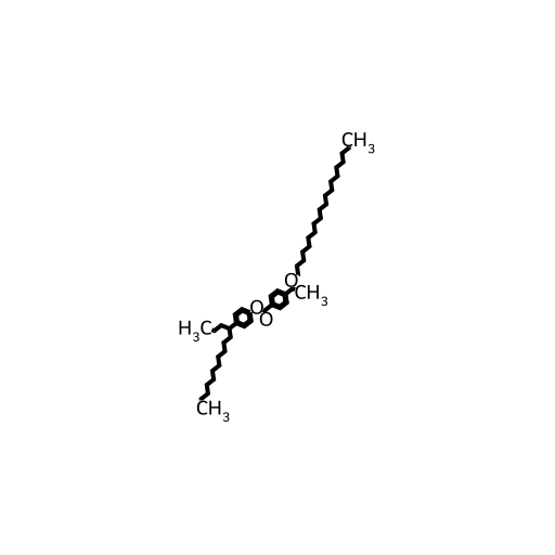 CCCCCCCCCCCCCCCCCCCCOC(C)c1ccc(C(=O)Oc2ccc(C(CCC)CCCCCCCCCCC)cc2)cc1